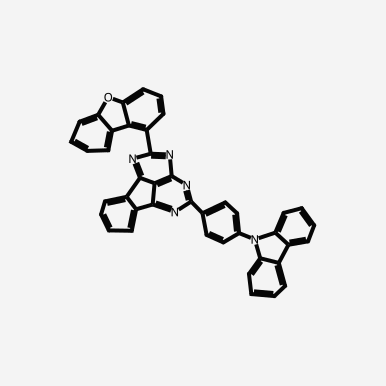 c1ccc2c(c1)-c1nc(-c3ccc(-n4c5ccccc5c5ccccc54)cc3)nc3nc(-c4cccc5oc6ccccc6c45)nc-2c13